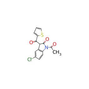 CC(=O)N1C(=O)C(C(=O)c2cccs2)c2cc(Cl)ccc21